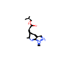 Cc1nc2c(cnn2C)cc1CC(=O)OCC(C)C